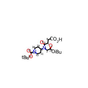 CC(C)COC(=O)CN(C(=O)CCC(=O)O)C1CCN(C(=O)OC(C)(C)C)CC1